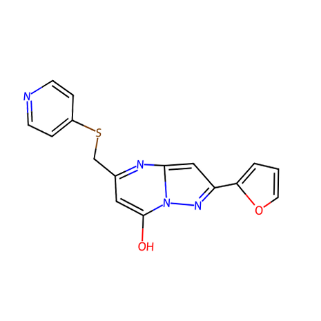 Oc1cc(CSc2ccncc2)nc2cc(-c3ccco3)nn12